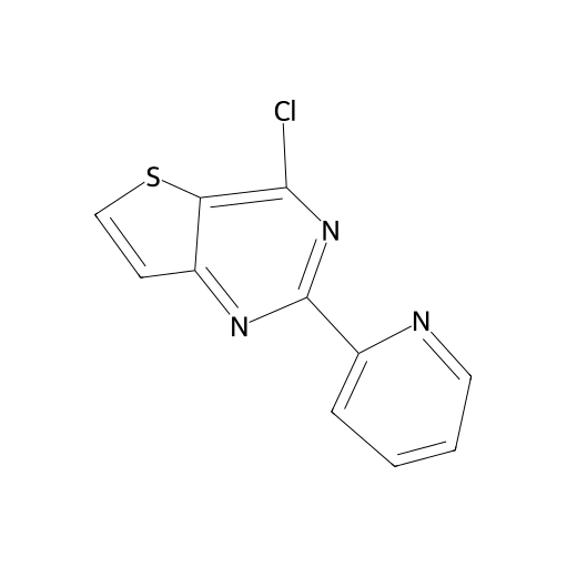 Clc1nc(-c2ccccn2)nc2ccsc12